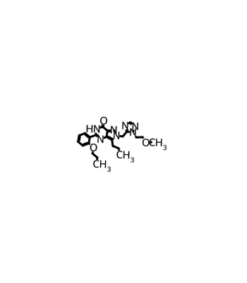 CCCOc1ccccc1-c1nc2c(CCC)n(Cc3ncnn3CCOC)nc2c(=O)[nH]1